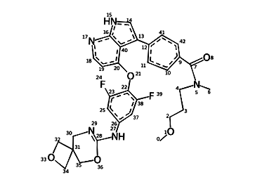 COCCCN(C)C(=O)c1ccc(-c2c[nH]c3nccc(Oc4c(F)cc(NC5=NCC6(COC6)CO5)cc4F)c23)cc1